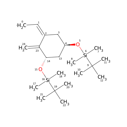 [CH2]/C=C1/C[C@@H](O[Si](C)(C)C(C)(C)C)C[C@H](O[Si](C)(C)C(C)(C)C)C1=C